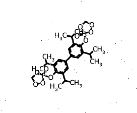 CC(C)c1cc(-c2cc(C(C)C)c(OP3(=O)OCOO3)c(C(C)C)c2)cc(C(C)C)c1OP1(=O)OCOO1